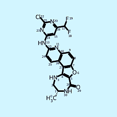 C[C@@H]1CNc2c(oc3ccc4nc(Nc5cc(C(F)F)nc(Cl)n5)ccc4c23)C(=O)N1